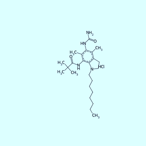 CCCCCCCCN1CCc2c(C)c(NC(N)=O)c(C)c(NC(=O)C(C)(C)C)c21.Cl